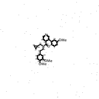 COc1cccc(-c2cnccc2C(=O)N(CCc2ccc(OC)c(OC)c2)CC2CC2)c1